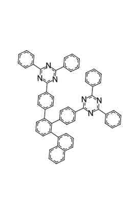 c1ccc(-c2nc(-c3ccccc3)nc(-c3ccc(-c4cccc(-c5cccc6ccccc56)c4-c4ccc(-c5nc(-c6ccccc6)nc(-c6ccccc6)n5)cc4)cc3)n2)cc1